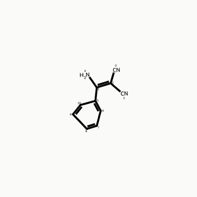 N#CC(C#N)=C(N)c1ccccc1